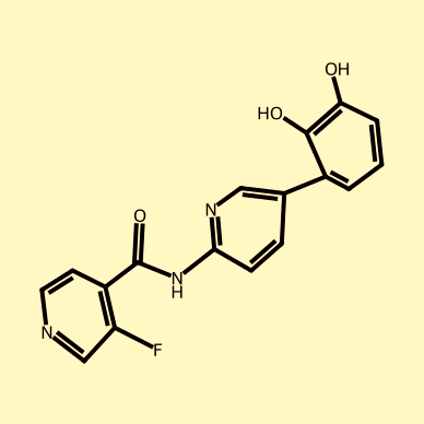 O=C(Nc1ccc(-c2cccc(O)c2O)cn1)c1ccncc1F